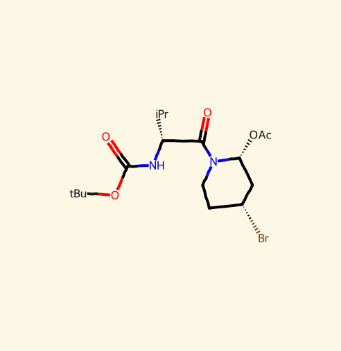 CC(=O)O[C@@H]1C[C@H](Br)CCN1C(=O)[C@H](NC(=O)OC(C)(C)C)C(C)C